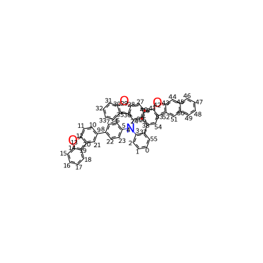 c1ccc(N(c2ccc(-c3ccc4oc5ccccc5c4c3)cc2)c2cccc3oc4ccccc4c23)c(-c2ccc3oc4cc5ccccc5cc4c3c2)c1